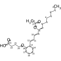 CCCCCCCC[C@@H](/C=C/C=C/c1ccccc1OCCCC(=O)O)OC(C)=O